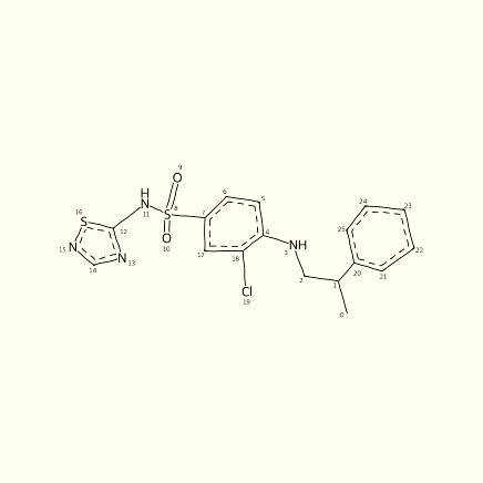 CC(CNc1ccc(S(=O)(=O)Nc2ncns2)cc1Cl)c1ccccc1